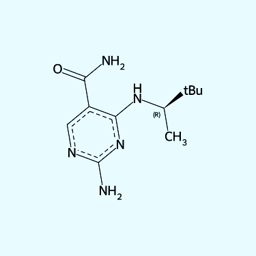 C[C@@H](Nc1nc(N)ncc1C(N)=O)C(C)(C)C